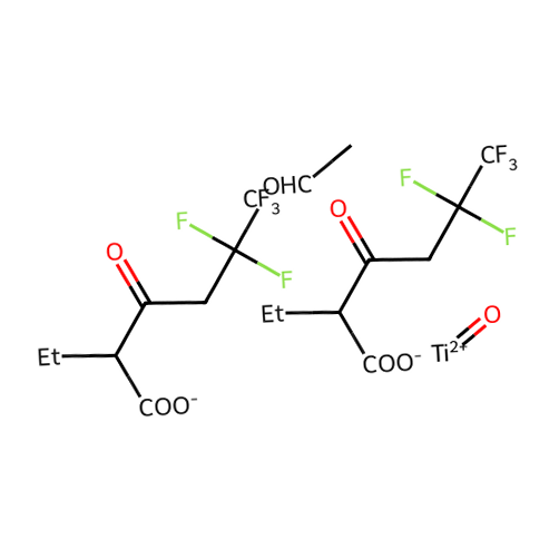 CC=O.CCC(C(=O)[O-])C(=O)CC(F)(F)C(F)(F)F.CCC(C(=O)[O-])C(=O)CC(F)(F)C(F)(F)F.[O]=[Ti+2]